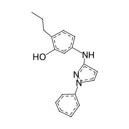 CCCc1ccc(Nc2ccn(-c3ccccc3)n2)cc1O